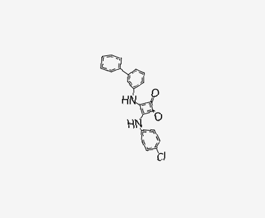 O=c1c(Nc2ccc(Cl)cc2)c(Nc2cccc(-c3ccccc3)c2)c1=O